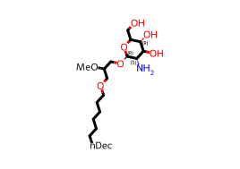 CCCCCCCCCCCCCCCCOCC(CO[C@@H]1OC(CO)[C@H](O)C(O)[C@@H]1N)OC